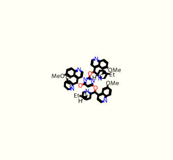 CCC1CCN2CCC1CC2[C@@H](Oc1cc(OC(c2ccnc3ccc(OC)cc23)C2CC3CCN2C[C@@H]3CC)nc(OC(c2ccnc3ccc(OC)cc23)[C@@H]2CC3CC[N@]2CC3CC)n1)c1ccnc2ccc(OC)cc12